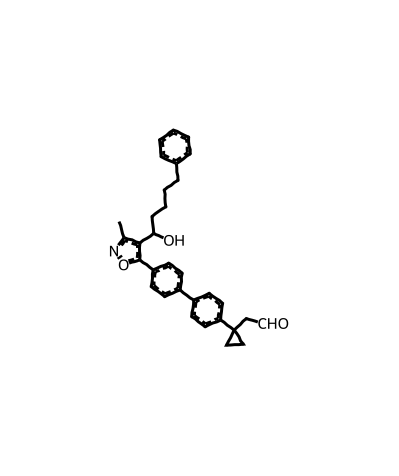 Cc1noc(-c2ccc(-c3ccc(C4(CC=O)CC4)cc3)cc2)c1C(O)CCCCc1ccccc1